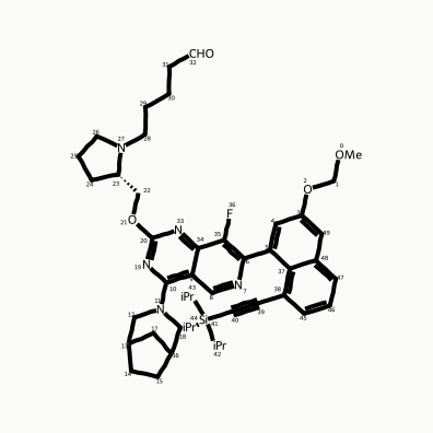 COCOc1cc(-c2ncc3c(N4CC5CCC(C5)C4)nc(OC[C@@H]4CCCN4CCCCC=O)nc3c2F)c2c(C#C[Si](C(C)C)(C(C)C)C(C)C)cccc2c1